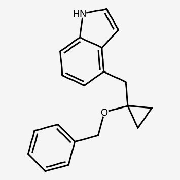 c1ccc(COC2(Cc3cccc4[nH]ccc34)CC2)cc1